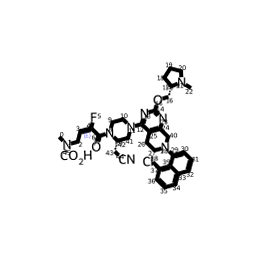 CN(C/C=C(/F)C(=O)N1CCN(c2nc(OC[C@@H]3CCCN3C)nc3c2CCN(c2cccc4cccc(Cl)c24)C3)C[C@@H]1CC#N)C(=O)O